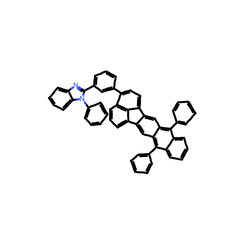 c1ccc(-c2c3ccccc3c(-c3ccccc3)c3cc4c(cc23)-c2cccc3c(-c5cccc(-c6nc7ccccc7n6-c6ccccc6)c5)ccc-4c23)cc1